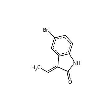 C/C=C1/C(=O)Nc2ccc(Br)cc21